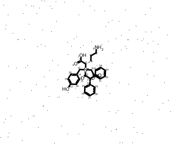 NCCC[C@@H](C(=O)O)[N+](CC(=O)[O-])(Cc1ccc(O)cc1)C(=O)C(c1ccccc1)c1ccccc1